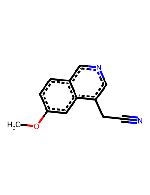 COc1ccc2cncc(CC#N)c2c1